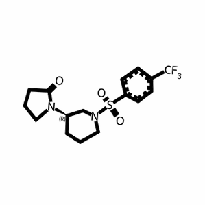 O=C1CCCN1[C@@H]1CCCN(S(=O)(=O)c2ccc(C(F)(F)F)cc2)C1